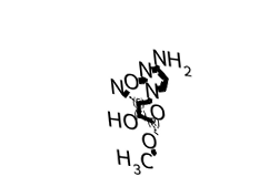 CCOC[C@H]1OC(n2ccc(N)nc2=O)[C@@H](C#N)[C@@H]1O